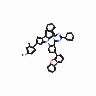 Cc1ccc(-c2ccc3c4ccccc4n(-c4ccc(-c5cccc6c5oc5ccccc56)cc4-c4nc(-c5ccccc5)nc(-c5ccccc5)n4)c3c2)c(C)c1